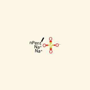 CCCCCC.O=S(=O)([O-])[O-].[Na+].[Na+]